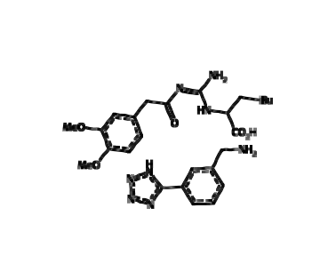 CCC(C)CC(NC(N)=NC(=O)Cc1ccc(OC)c(OC)c1)C(=O)O.NCc1cccc(-c2nnn[nH]2)c1